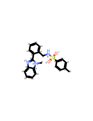 Cc1ccc(S(=O)(=O)NCc2ccccc2-c2nc3ccccc3n2C)cc1